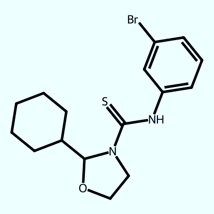 S=C(Nc1cccc(Br)c1)N1CCOC1C1CCCCC1